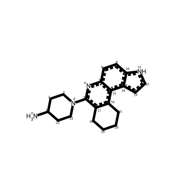 NC1CCN(c2nc3ccc4[nH]ccc4c3c3c2CCCC3)CC1